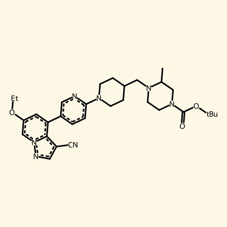 CCOc1cc(-c2ccc(N3CCC(CN4CCN(C(=O)OC(C)(C)C)CC4C)CC3)nc2)c2c(C#N)cnn2c1